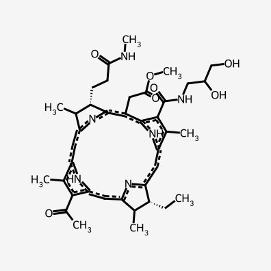 CC[C@H]1c2cc3[nH]c(c(CC(=O)OC)c4nc(cc5[nH]c(cc(n2)C1C)c(C(C)=O)c5C)C(C)[C@@H]4CCC(=O)NC)c(C(=O)NCC(O)CO)c3C